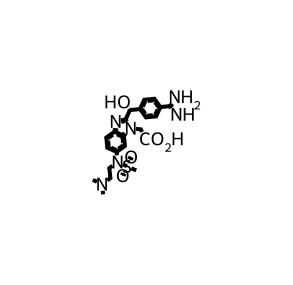 CN(C)CCN(c1ccc2nc(C(O)c3ccc(C(=N)N)cc3)n(CC(=O)O)c2c1)S(C)(=O)=O